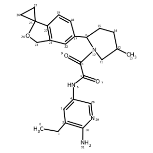 CCc1cc(NC(=O)C(=O)N2CC(C)CCC2c2ccc3c(c2)COC32CC2)cnc1N